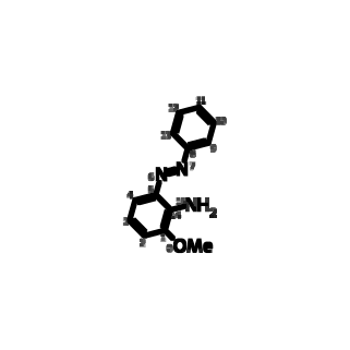 COc1cccc(N=Nc2ccccc2)c1N